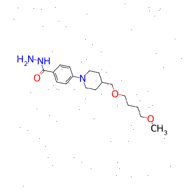 COCCCCOCC1CCN(c2ccc(C(=O)NN)cc2)CC1